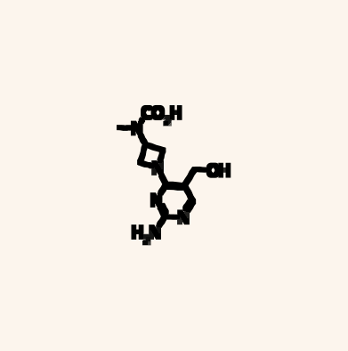 CN(C(=O)O)C1CN(c2nc(N)ncc2CO)C1